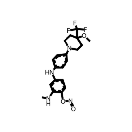 CNc1cc(Nc2ccc(N3CCC(OC)(C(F)(F)F)CC3)cc2)ccc1ON=O